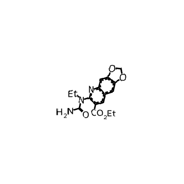 CCOC(=O)c1cc2cc3c(cc2nc1N(CC)C(N)=O)OCO3